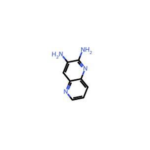 Nc1cc2ncccc2nc1N